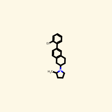 CCc1ccccc1-c1ccc2c(c1)CCC(N1CCCC1C)C2